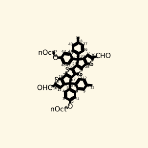 CCCCCCCCOc1ccc(C2(c3ccc(C)cc3)c3cc(C=O)sc3-c3sc4c5c(sc4c32)-c2sc(C=O)cc2C5(c2ccc(C)cc2)c2ccc(OCCCCCCCC)cc2)cc1